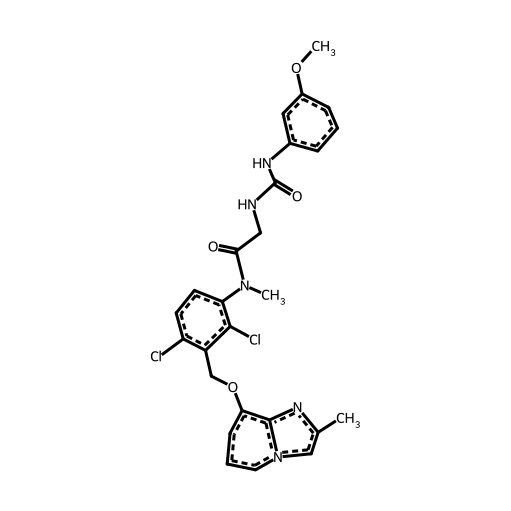 COc1cccc(NC(=O)NCC(=O)N(C)c2ccc(Cl)c(COc3cccn4cc(C)nc34)c2Cl)c1